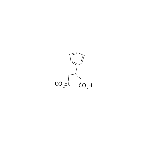 CCOC(=O)CC(CC(=O)O)c1ccccc1